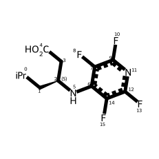 CC(C)C[C@@H](CC(=O)O)Nc1c(F)c(F)nc(F)c1F